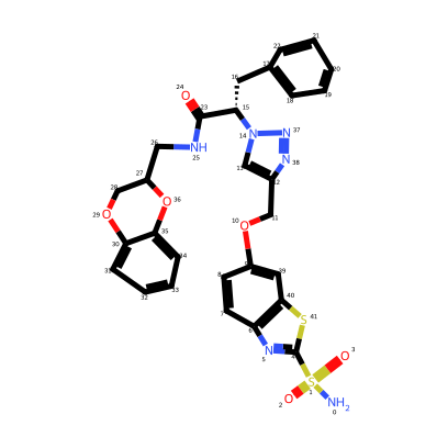 NS(=O)(=O)c1nc2ccc(OCc3cn([C@@H](Cc4ccccc4)C(=O)NCC4COc5ccccc5O4)nn3)cc2s1